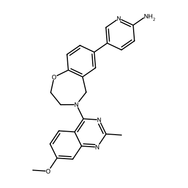 COc1ccc2c(N3CCOc4ccc(-c5ccc(N)nc5)cc4C3)nc(C)nc2c1